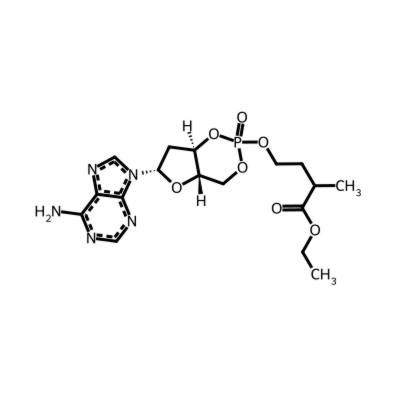 CCOC(=O)C(C)CCOP1(=O)OC[C@@H]2O[C@H](n3cnc4c(N)ncnc43)C[C@H]2O1